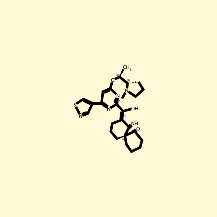 C[C@H](Oc1cc(-c2cnsc2)nc(/C(O)=C2\CCC[C@@]3(CCCCC3=O)C2=N)n1)[C@@H]1CCCN1C